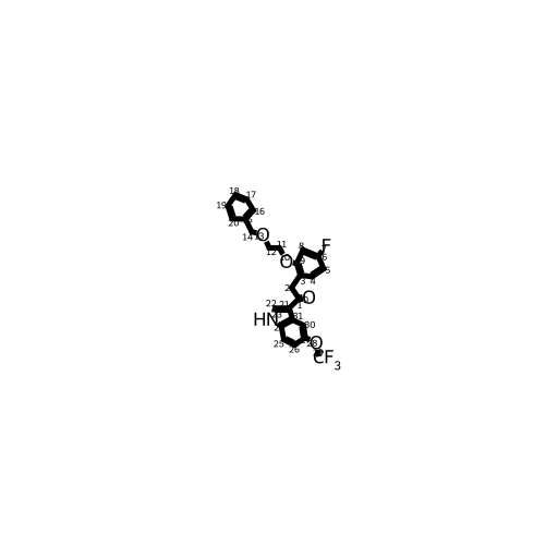 O=C(Cc1ccc(F)cc1OCCOCc1ccccc1)c1c[nH]c2ccc(OC(F)(F)F)cc12